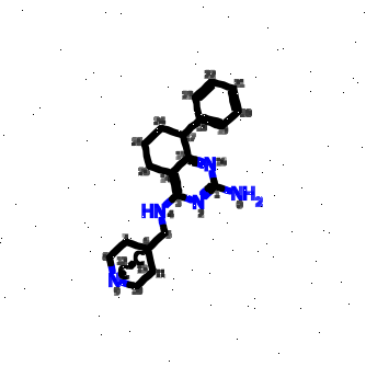 Nc1nc(NCC23CCN(CC2)CC3)c2c(n1)C(c1ccccc1)CCC2